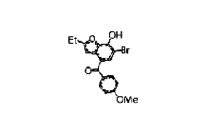 CCc1cc2c(C(=O)c3ccc(OC)cc3)cc(Br)c(O)c2o1